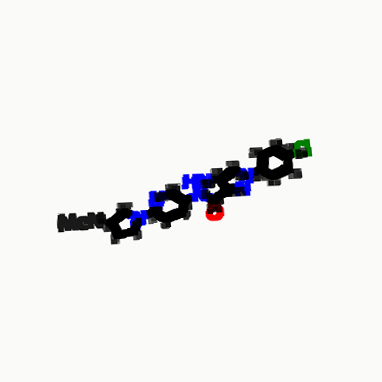 CN[C@H]1CCN(c2ccc(-n3[nH]c4cn(-c5ccc(Cl)cc5)nc4c3=O)cn2)C1